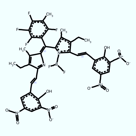 CCC1=C(C)/C(=C(\c2c(F)c(C)c(F)c(F)c2F)c2c(C)c(CC)c(/C=C/c3cc([N+](=O)[O-])cc([N+](=O)[O-])c3O)n2B(F)F)N=C1/C=C/c1cc([N+](=O)[O-])cc([N+](=O)[O-])c1O